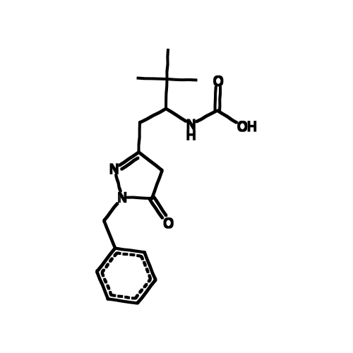 CC(C)(C)C(CC1=NN(Cc2ccccc2)C(=O)C1)NC(=O)O